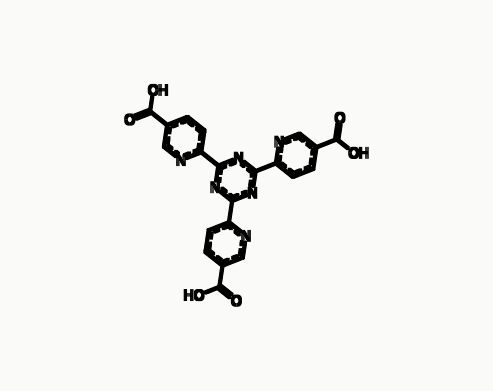 O=C(O)c1ccc(-c2nc(-c3ccc(C(=O)O)cn3)nc(-c3ccc(C(=O)O)cn3)n2)nc1